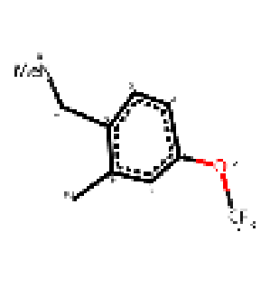 CNCc1ccc(OC(F)(F)F)cc1C